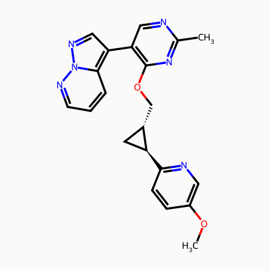 COc1ccc([C@H]2C[C@@H]2COc2nc(C)ncc2-c2cnn3ncccc23)nc1